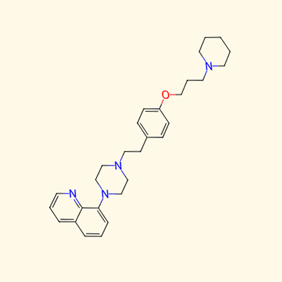 c1cnc2c(N3CCN(CCc4ccc(OCCCN5CCCCC5)cc4)CC3)cccc2c1